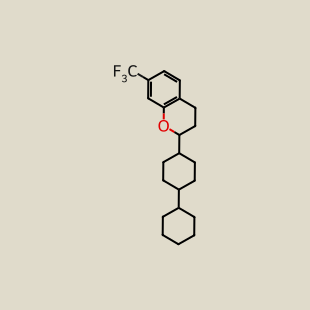 FC(F)(F)c1ccc2c(c1)OC(C1CCC(C3CCCCC3)CC1)CC2